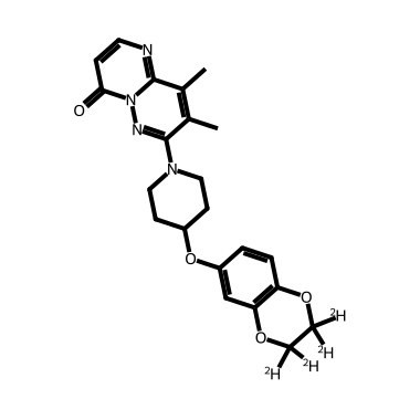 [2H]C1([2H])Oc2ccc(OC3CCN(c4nn5c(=O)ccnc5c(C)c4C)CC3)cc2OC1([2H])[2H]